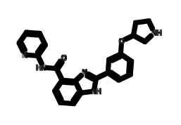 O=C(Nc1ccccn1)c1cccc2[nH]c(-c3cccc(OC4CCNC4)c3)nc12